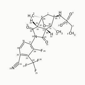 CCS(=O)(=O)N[C@@H]1C[C@@]2(C)O[C@]1(C)[C@@H]1C(=O)N(c3ccc(C#N)c(C(F)(F)F)c3F)C(=O)[C@@H]12